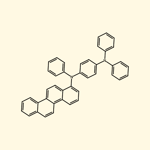 c1ccc(N(c2ccccc2)c2ccc(N(c3ccccc3)c3cccc4c3ccc3c5ccccc5ccc43)cc2)cc1